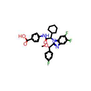 COC(c1ccc(F)cc1)c1nc2cc(F)c(F)cc2n1C(C(=O)Nc1ccc(C(=O)O)cc1)C1CCCCC1